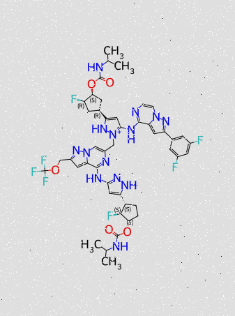 CC(C)NC(=O)O[C@H]1CC[C@@H](c2cc(Nc3nc(C[n+]4[nH]c([C@H]5C[C@@H](F)[C@@H](OC(=O)NC(C)C)C5)cc4Nc4nccn5nc(-c6cc(F)cc(F)c6)cc45)cn4nc(COC(F)(F)F)cc34)n[nH]2)[C@@H]1F